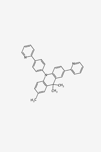 Cc1ccc2c(c1)C(C)(C)c1cc(-c3ccccn3)ccc1N2c1ccc(-c2ccccn2)cc1